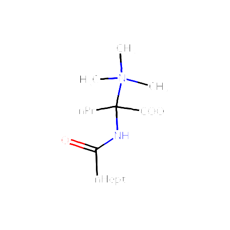 CCCCCCCC(=O)NC(CCC)(C(=O)[O-])[N+](C)(C)C